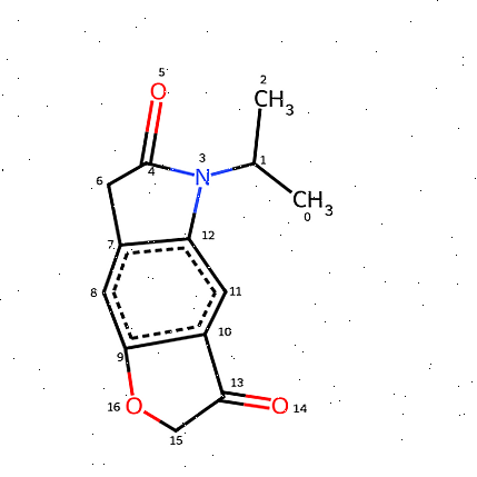 CC(C)N1C(=O)Cc2cc3c(cc21)C(=O)CO3